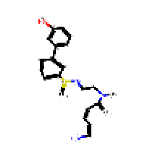 C=C(/C=C\C=C/N)N(CCC)CCNS(=C)c1cccc(-c2cccc(O)c2)c1